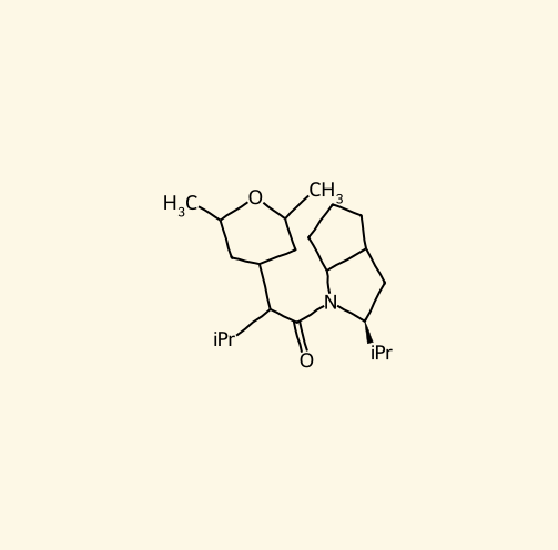 CC1CC(C(C(=O)N2C3CCCC3C[C@H]2C(C)C)C(C)C)CC(C)O1